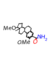 COc1cc2c(cc1C(N)=O)CCC1C2CCC2(C)C(OC)CCC12